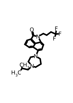 CC(C)CN1CCCN(c2ccc3c4c(cccc24)C(=O)N3CCCC(F)(F)F)CC1